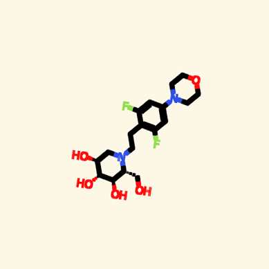 OC[C@@H]1[C@@H](O)[C@H](O)[C@@H](O)CN1CCc1c(F)cc(N2CCOCC2)cc1F